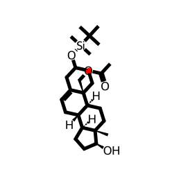 CC(=O)OC[C@]12CCC(O[Si](C)(C)C(C)(C)C)CC1=CC[C@@H]1[C@@H]2CC[C@]2(C)[C@@H](O)CC[C@@H]12